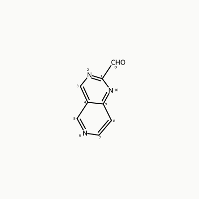 O=Cc1ncc2cnccc2n1